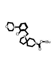 CC(C)(C)OC(=O)N1CCC2(CCCN2Cc2cccc(N3CCOCC3)c2Cl)CC1